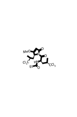 CCC(=O)N[C@H](C[C@H](C)C(Cl)(Cl)Cl)C(=O)N1C(=O)C=C(OC)[C@@H]1C[C@H](C)C(Cl)(Cl)Cl